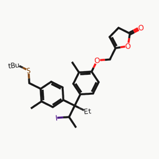 CCC(c1ccc(CSC(C)(C)C)c(C)c1)(c1ccc(OCC2=CCC(=O)O2)c(C)c1)C(C)I